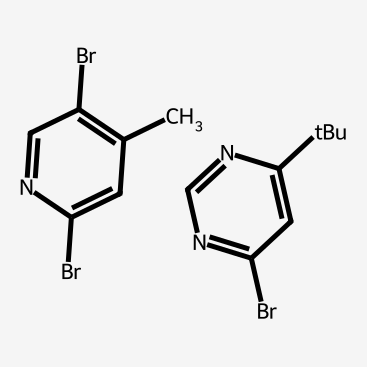 CC(C)(C)c1cc(Br)ncn1.Cc1cc(Br)ncc1Br